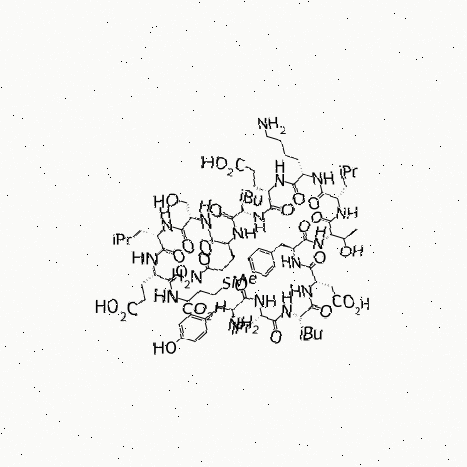 CC[C@H](C)[C@H](NC(=O)[C@H](CCC(=O)O)NC(=O)[C@H](CCCCN)NC(=O)[C@H](CC(C)C)NC(=O)[C@@H](NC(=O)[C@H](Cc1ccccc1)NC(=O)[C@H](CC(=O)O)NC(=O)[C@@H](NC(=O)[C@@H](NC(=O)[C@@H](N)Cc1ccc(O)cc1)C(C)C)[C@@H](C)CC)[C@@H](C)O)C(=O)N[C@@H](CCC(N)=O)C(=O)N[C@@H](CO)C(=O)N[C@@H](CC(C)C)C(=O)N[C@@H](CCC(=O)O)C(=O)N[C@@H](CCSC)C(=O)O